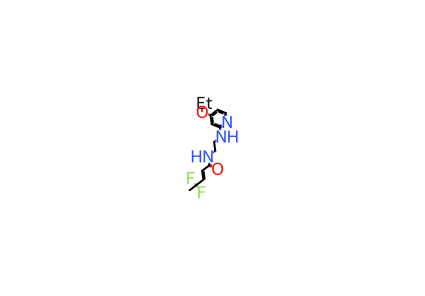 CCOc1ccnc(NCCNC(=O)C=CC(C)(F)F)c1